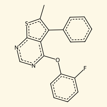 Cc1sc2ncnc(Oc3ccccc3F)c2c1-c1ccccc1